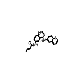 CC=CC(=O)Nc1ccc2ncnc(Nc3ccc4ncccc4c3)c2c1